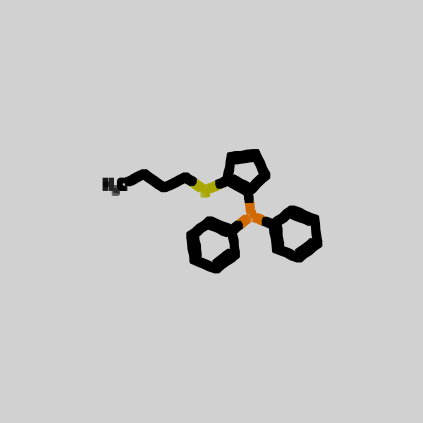 CCCCSC1=C(P(c2ccccc2)c2ccccc2)CC=C1